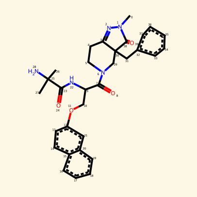 CN1N=C2CCN(C(=O)C(COc3ccc4ccccc4c3)NC(=O)C(C)(C)N)CC2(Cc2ccccc2)C1=O